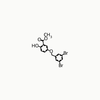 COC(=O)c1cc(OCc2cc(Br)cc(Br)c2)ccc1O